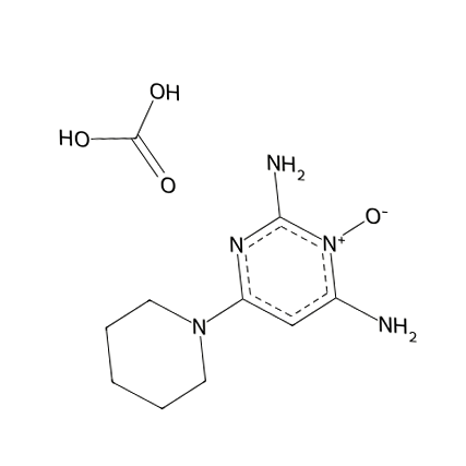 Nc1cc(N2CCCCC2)nc(N)[n+]1[O-].O=C(O)O